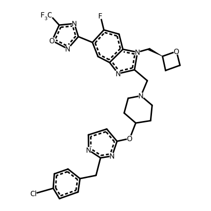 Fc1cc2c(cc1-c1noc(C(F)(F)F)n1)nc(CN1CCC(Oc3ccnc(Cc4ccc(Cl)cc4)n3)CC1)n2C[C@@H]1CCO1